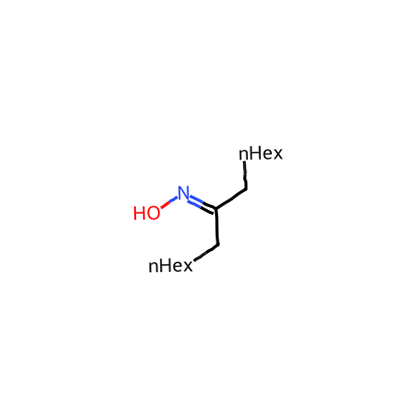 CCCCCCCC(CCCCCCC)=NO